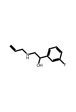 C=CCNCC(O)c1cccc(F)c1